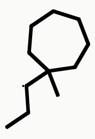 CC[CH]C1(C)CCCCCC1